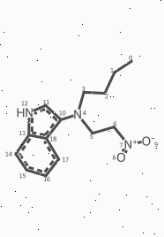 CCCCN(CC[N+](=O)[O-])c1c[nH]c2ccccc12